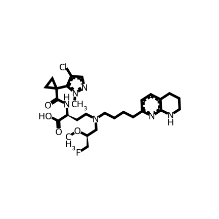 CO[C@H](CF)CN(CCCCc1ccc2c(n1)NCCC2)CC[C@H](NC(=O)C1(c2c(Cl)cnn2C)CC1)C(=O)O